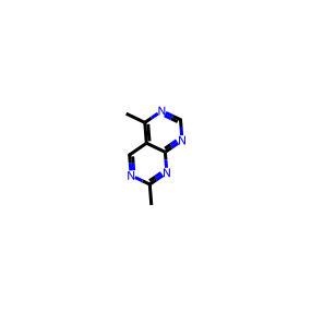 Cc1ncc2c(C)ncnc2n1